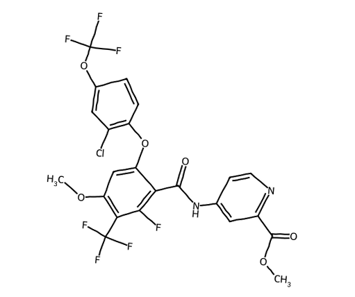 COC(=O)c1cc(NC(=O)c2c(Oc3ccc(OC(F)(F)F)cc3Cl)cc(OC)c(C(F)(F)F)c2F)ccn1